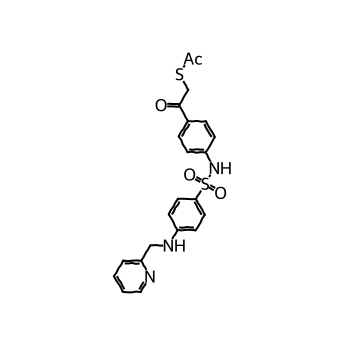 CC(=O)SCC(=O)c1ccc(NS(=O)(=O)c2ccc(NCc3ccccn3)cc2)cc1